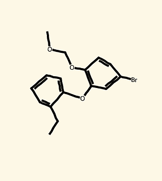 CCc1ccccc1Oc1cc(Br)ccc1OCOC